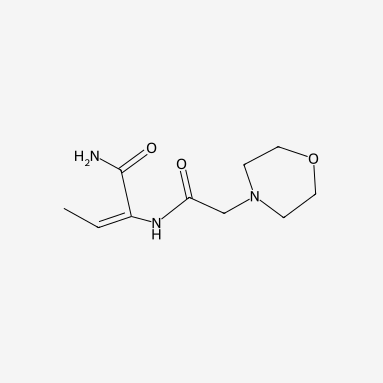 CC=C(NC(=O)CN1CCOCC1)C(N)=O